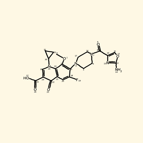 COc1c(N2CCN(C(=O)c3coc(N)n3)CC2)c(F)cc2c(=O)c(C(=O)O)cn(C3CC3)c12